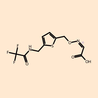 O=C(O)/C=N\OCc1ccc(CNC(=O)C(F)(F)F)s1